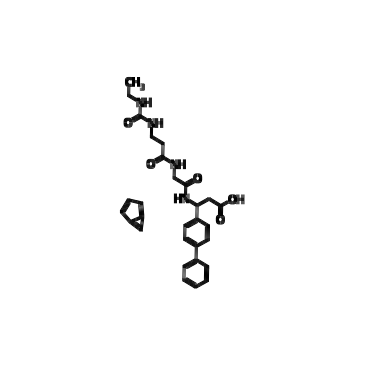 CCNC(=O)NCCC(=O)NCC(=O)NC(CC(=O)O)c1ccc(-c2ccccc2)cc1.c1cc2cc-2c1